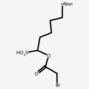 CCCCCCCCCCCCCC(OC(=O)CBr)S(=O)(=O)O